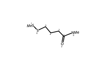 CNC(=O)CCCSSC